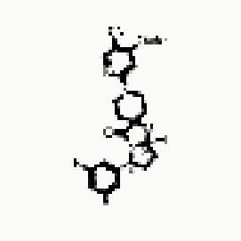 COc1cc(N2CCC3(CC2)O[C@@H]2CC[C@@H](c4cc(F)cc(F)c4)N2C3=O)ncc1C#N